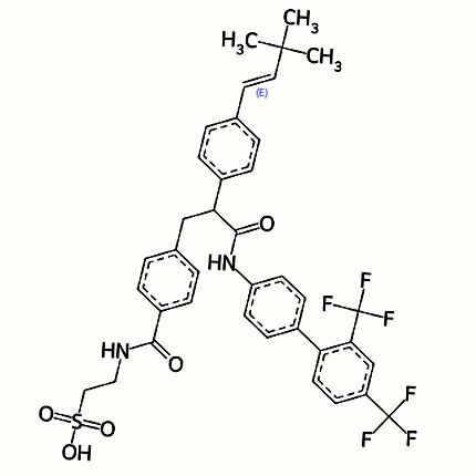 CC(C)(C)/C=C/c1ccc(C(Cc2ccc(C(=O)NCCS(=O)(=O)O)cc2)C(=O)Nc2ccc(-c3ccc(C(F)(F)F)cc3C(F)(F)F)cc2)cc1